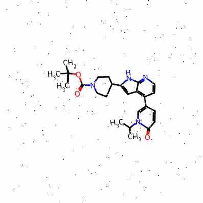 CC(C)n1cc(-c2ccnc3[nH]c(C4CCN(C(=O)OC(C)(C)C)CC4)cc23)ccc1=O